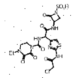 CCN1CCN(C(=O)NC(C(=O)NC2CN(S(=O)(=O)O)C2=O)c2csc(NC(=O)CCl)n2)C(=O)C1=O